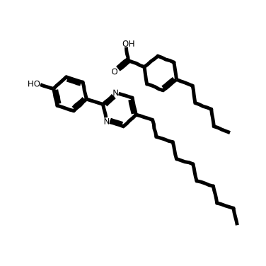 CCCCCC1=CCC(C(=O)O)CC1.CCCCCCCCCCc1cnc(-c2ccc(O)cc2)nc1